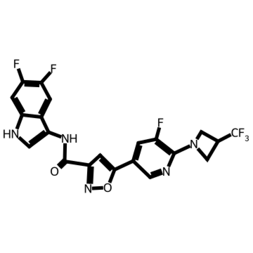 O=C(Nc1c[nH]c2cc(F)c(F)cc12)c1cc(-c2cnc(N3CC(C(F)(F)F)C3)c(F)c2)on1